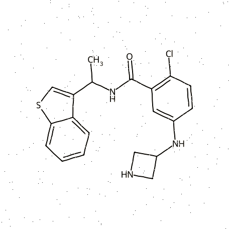 CC(NC(=O)c1cc(NC2CNC2)ccc1Cl)c1csc2ccccc12